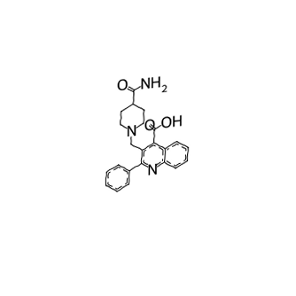 NC(=O)C1CCN(Cc2c(-c3ccccc3)nc3ccccc3c2C(=O)O)CC1